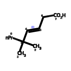 CCCC(C)(C)/C=C/CC(=O)O